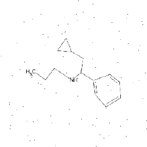 CCCNC(CC1CC1)c1c[c]ccc1